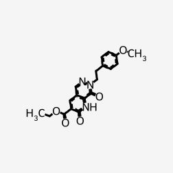 CCOC(=O)c1cc2cnn(CCc3ccc(OC)cc3)c(=O)c2[nH]c1=O